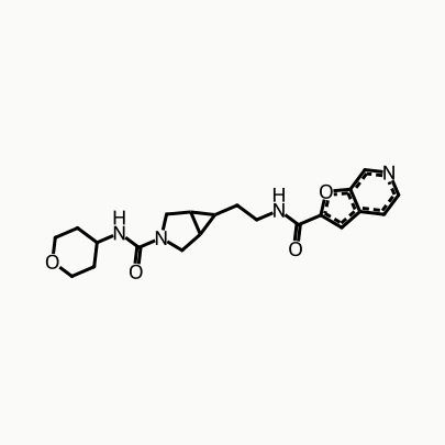 O=C(NCCC1C2CN(C(=O)NC3CCOCC3)CC12)c1cc2ccncc2o1